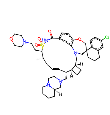 C[C@H]1C/C=C/[C@H](CN2CCN3CCCC[C@@H]3C2)[C@@H]2CC[C@H]2CN2C[C@@]3(CCCc4cc(Cl)ccc43)COc3ccc(cc32)C(=O)NS(=O)(=O)[C@@H]1CCN1CCOCC1